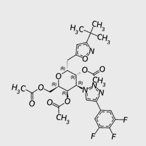 CC(=O)OC[C@H]1O[C@H](Cc2cc(C(C)(C)C)no2)[C@H](OC(C)=O)[C@@H](n2cc(-c3cc(F)c(F)c(F)c3)nn2)[C@H]1OC(C)=O